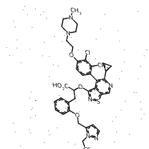 Cc1c(-c2c(C3CC3)ncc3snc(OC(Cc4ccccc4OCc4ccnn4CC(F)(F)F)C(=O)O)c23)ccc(OCCN2CCN(C)CC2)c1Cl